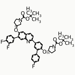 CC(C)(C)OC(=O)N1CC[C@H](Oc2ccc(-c3ccc4cc(O[C@H]5CCN(C(=O)OC(C)(C)C)C5)c(-c5ccc(F)c(F)c5)cc4n3)cc2-c2ccc(F)cc2)C1